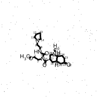 COCCN(C(=O)NCCN1CCCC1)C(=O)[C@@H]1C[C@@H]2CC(=O)CC[C@H]2N(C)C1